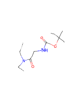 CCN(CC)C(=O)CNC(=O)OC(C)(C)C